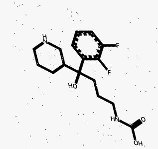 O=C(O)NCCCC(O)(c1cccc(F)c1F)C1CCCNC1